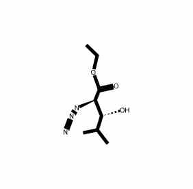 CCOC(=O)[C@H](N=[N+]=[N-])[C@H](O)C(C)C